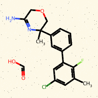 Cc1cc(Cl)cc(-c2cccc(C3(C)COCC(N)=N3)c2)c1F.O=CO